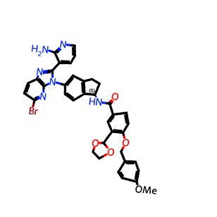 COc1ccc(COc2ccc(C(=O)N[C@H]3CCc4cc(-n5c(-c6cccnc6N)nc6ccc(Br)nc65)ccc43)cc2C2OCCO2)cc1